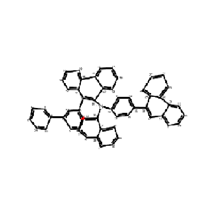 c1ccc(-c2cccc(-c3c(N(c4ccc(-c5cc6ccccc6c6ccccc56)cc4)c4cccc5ccccc45)c4ccccc4c4ccccc34)c2)cc1